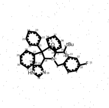 CC(C)(C)C(Br)C(=O)N(Cc1ccc(F)cc1)C(c1c[nH]cn1)C(c1ccccc1)(c1ccccc1)c1ccccc1